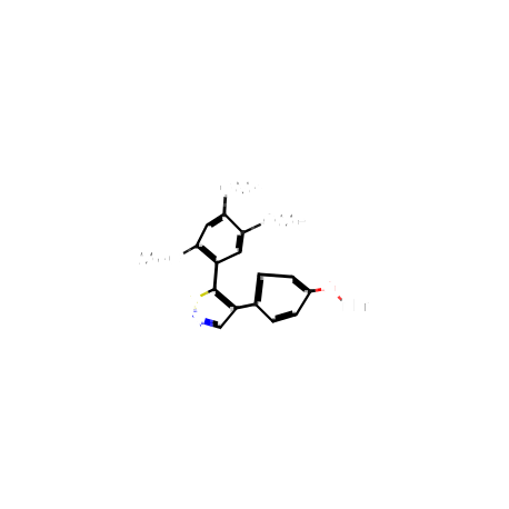 CCCOc1ccc(-c2cnsc2-c2cc(OC)c(OC)cc2OC)cc1